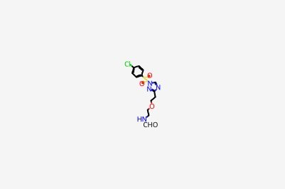 O=CNCCOCCc1ncn(S(=O)(=O)c2ccc(Cl)cc2)n1